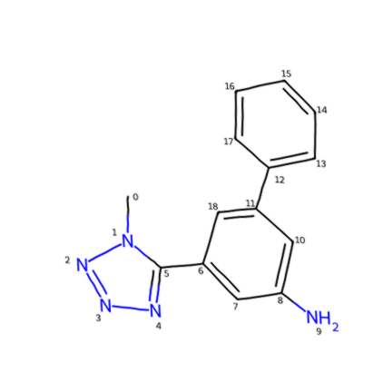 Cn1nnnc1-c1cc(N)cc(-c2ccccc2)c1